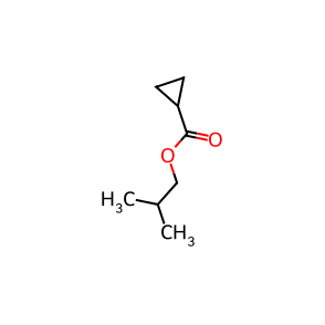 CC(C)COC(=O)C1CC1